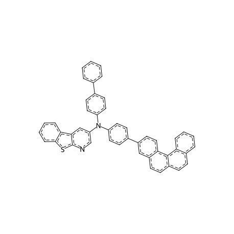 c1ccc(-c2ccc(N(c3ccc(-c4ccc5c(ccc6ccc7ccccc7c65)c4)cc3)c3cnc4sc5ccccc5c4c3)cc2)cc1